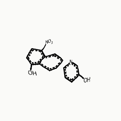 O=[N+]([O-])c1ccc(O)c2ccccc12.Oc1cccnc1